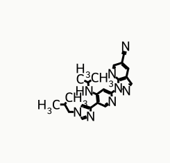 CC(C)Cn1cnc(-c2cnc(-n3ncc4cc(C#N)cnc43)cc2NC(C)C)c1